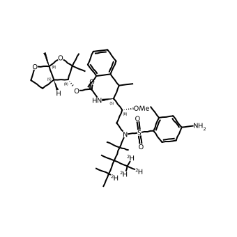 [2H]C([2H])([2H])C(C)(C([2H])(C)C)C(C)(C)N(C[C@@H](OC)[C@@H](NC(=O)O[C@@H]1[C@@H]2CCO[C@]2(C)OC1(C)C)C(C)c1ccccc1C)S(=O)(=O)c1ccc(N)cc1C